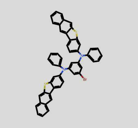 Brc1cc(N(c2ccccc2)c2ccc3c(c2)sc2cc4ccccc4cc23)cc(N(c2ccccc2)c2ccc3c(c2)sc2cc4ccccc4cc23)c1